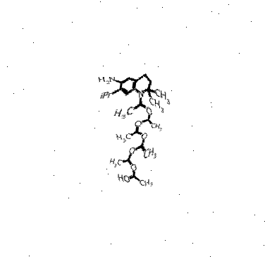 CC(O)OC(C)OC(C)OC(C)OC(C)OC(C)N1c2cc(C(C)C)c(N)cc2CCC1(C)C